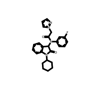 O=C1C(N(C(=O)Cn2cccn2)c2cccc(F)c2)c2ccccc2N1C1CCCCC1